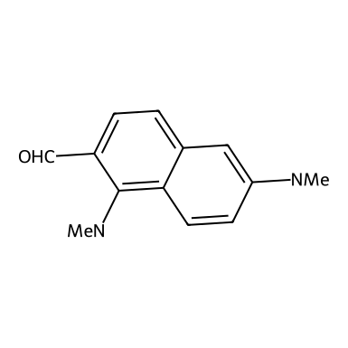 CNc1ccc2c(NC)c(C=O)ccc2c1